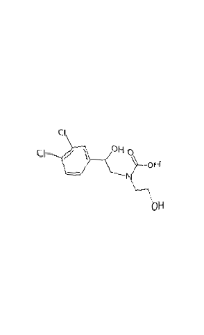 O=C(O)N(CCO)CC(O)c1ccc(Cl)c(Cl)c1